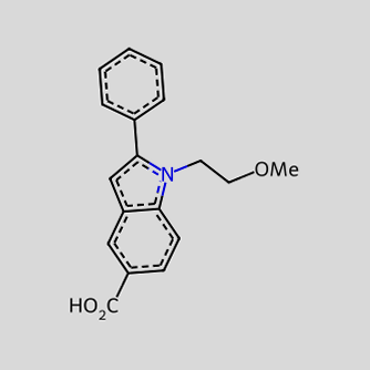 COCCn1c(-c2ccccc2)cc2cc(C(=O)O)ccc21